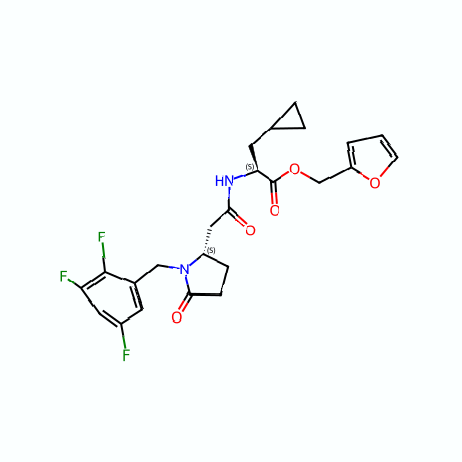 O=C(C[C@@H]1CCC(=O)N1Cc1cc(F)cc(F)c1F)N[C@@H](CC1CC1)C(=O)OCc1ccco1